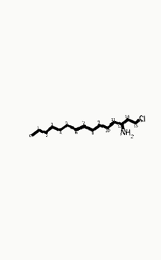 CCCCCCCCCCCCC(N)CCCl